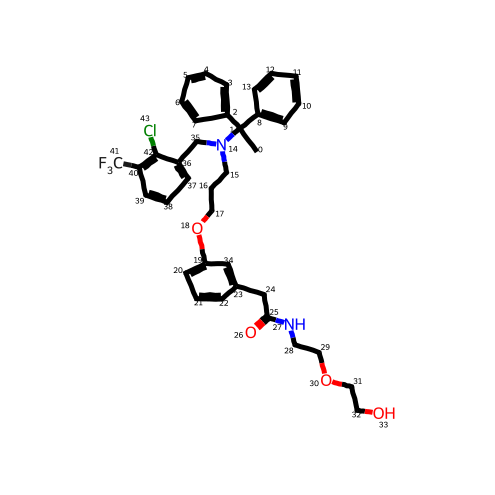 CC(c1ccccc1)(c1ccccc1)N(CCCOc1cccc(CC(=O)NCCOCCO)c1)Cc1cccc(C(F)(F)F)c1Cl